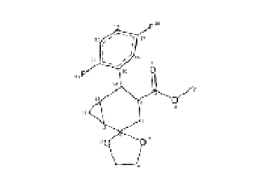 COC(=O)C1CC2(OCCO2)C2CC2C1c1cc(F)ccc1F